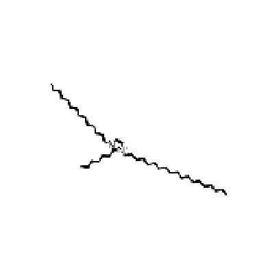 CCCCCCCCCCCCCCCCCCC[n+]1ccn(CCCCCCCCCCCCCC)c1CCCCCC